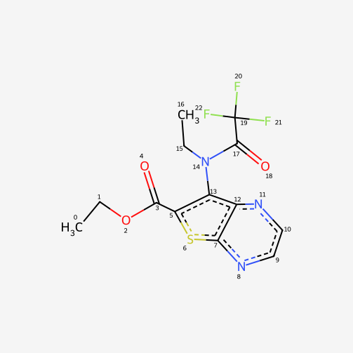 CCOC(=O)c1sc2nccnc2c1N(CC)C(=O)C(F)(F)F